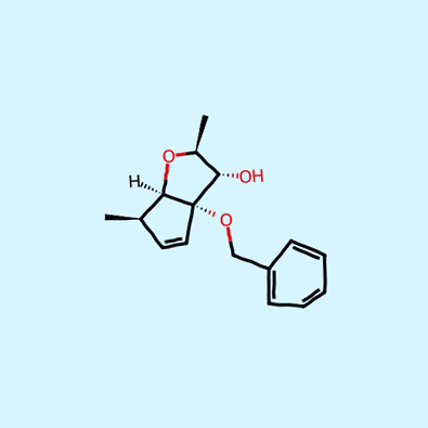 C[C@@H]1C=C[C@@]2(OCc3ccccc3)[C@@H]1O[C@@H](C)[C@@H]2O